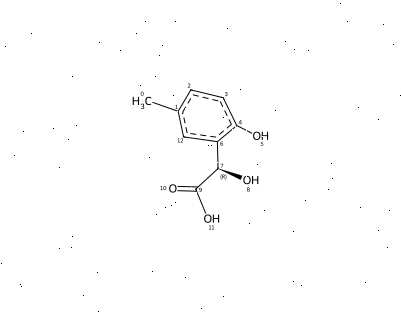 Cc1ccc(O)c([C@@H](O)C(=O)O)c1